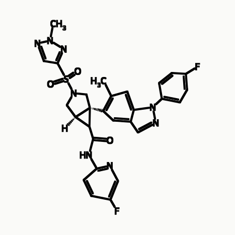 Cc1cc2c(cnn2-c2ccc(F)cc2)cc1[C@@]12CN(S(=O)(=O)c3cnn(C)n3)C[C@@H]1C2C(=O)Nc1ccc(F)cn1